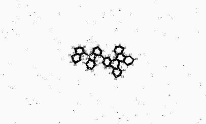 C1=Cc2c(c3ccccc3c3c4cc(-c5cccc6c5c5ccccc5n6-c5cccc6ccccc56)ccc4c4ccccc4c23)CC1